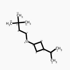 CC(C)C1CC(OCCC(C)(C)C)C1